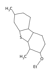 CCOC1CCC2C3CCC(C)CC3SC2C1C